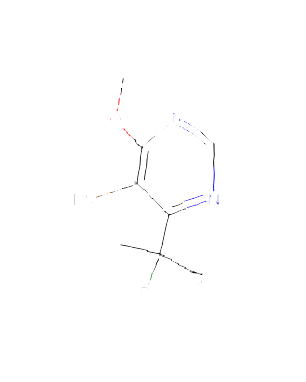 COc1ncnc(C(C)(C)F)c1S